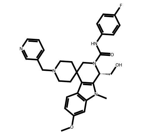 COc1ccc2c3c(n(C)c2c1)[C@@H](CO)N(C(=O)Nc1ccc(F)cc1)CC31CCN(Cc2cccnc2)CC1